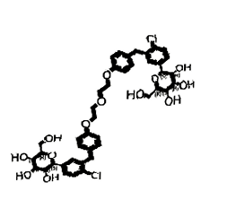 OC[C@H]1O[C@@H](c2ccc(Cl)c(Cc3ccc(OCCOCCOc4ccc(Cc5cc([C@@H]6O[C@H](CO)[C@@H](O)[C@H](O)[C@H]6O)ccc5Cl)cc4)cc3)c2)[C@H](O)[C@@H](O)[C@@H]1O